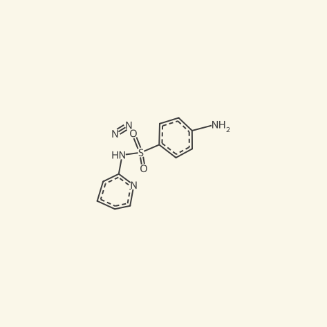 N#N.Nc1ccc(S(=O)(=O)Nc2ccccn2)cc1